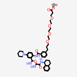 CC(C)(C)OC(=O)CCOCCOCCOCCOCCCc1cccc(C(=O)Nc2ccc(N3CCCCC3)cc2C(=N)OC(=N)C(=O)N[C@H]2CCCc3ccccc32)c1